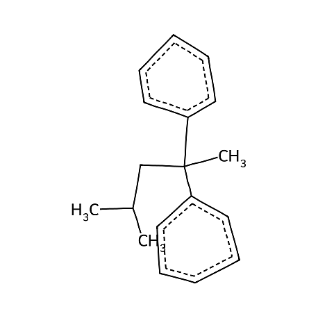 CC(C)CC(C)(c1ccccc1)c1ccccc1